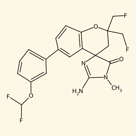 CN1C(=O)C2(CC(CF)(CF)Oc3ccc(-c4cccc(OC(F)F)c4)cc32)N=C1N